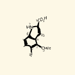 COc1c(F)ccc2[nH]c(C(=O)O)cc12